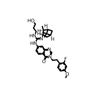 COc1ccc(CCn2cnc3cc(NC(=N[C@H]4C[C@@H]5C[C@H]([C@@H]4C)C5(C)C)NCCCO)ccc3c2=O)c(F)c1